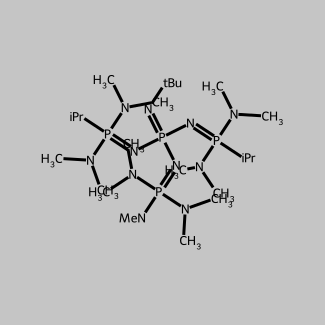 CNP(=NP(=NC(C)(C)C)(N=P(C(C)C)(N(C)C)N(C)C)N=P(C(C)C)(N(C)C)N(C)C)(N(C)C)N(C)C